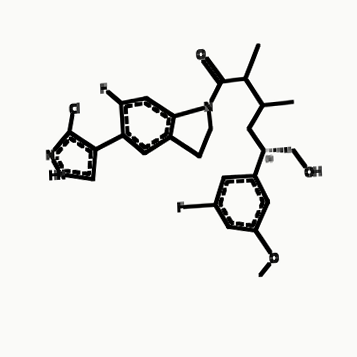 COc1cc(F)cc([C@@H](CO)CC(C)C(C)C(=O)N2CCc3cc(-c4c[nH]nc4Cl)c(F)cc32)c1